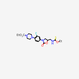 CCOC(=O)N1CCN(c2ccc(N3CC(CNC(=S)OCC)OC3=O)cc2F)CC1